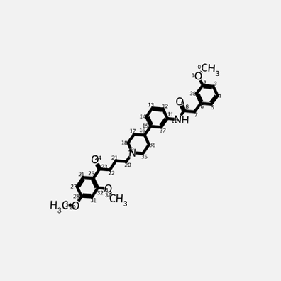 COc1cccc(CC(=O)Nc2cccc(C3CCN(CCCC(=O)c4ccc(OC)cc4OC)CC3)c2)c1